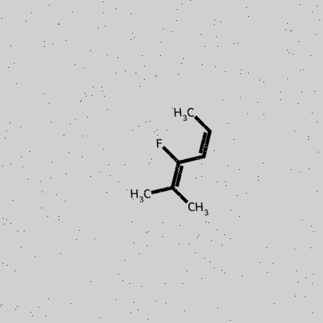 C/C=C\C(F)=C(C)C